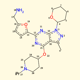 Cc1nn(C2CCCCO2)c2nc(-c3ccc(CN)o3)nc(OC3CCN(C(C)C)CC3)c12